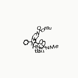 CNC(=O)[C@@H](NC(=O)c1nc(-c2ccccc2)n2c1CN(C(=O)OC(C)(C)C)CC2)C(C)(C)C